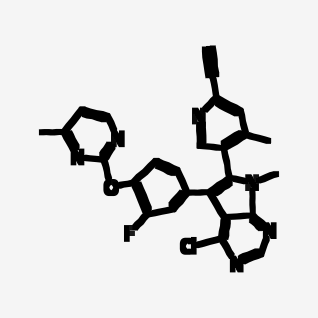 C#Cc1cc(C)c(-c2c(-c3ccc(Oc4nccc(C)n4)c(F)c3)c3c(Cl)ncnc3n2C)cn1